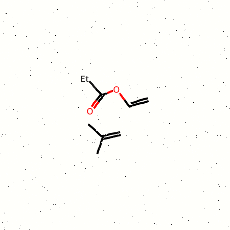 C=C(C)C.C=COC(=O)CC